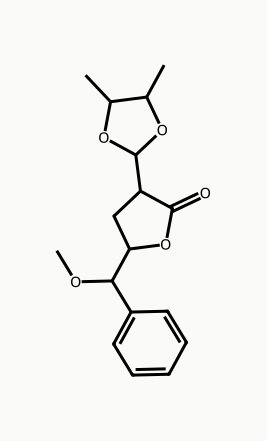 COC(c1ccccc1)C1CC(C2OC(C)C(C)O2)C(=O)O1